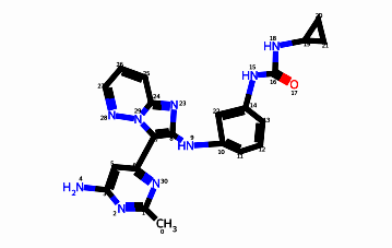 Cc1nc(N)cc(-c2c(Nc3cccc(NC(=O)NC4CC4)c3)nc3cccnn23)n1